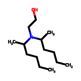 CCCCC(C)N(CCO)C(C)CCCC